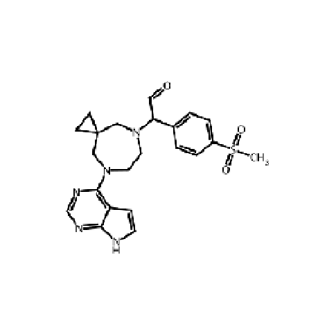 CS(=O)(=O)c1ccc(C(C=O)N2CCN(c3ncnc4[nH]ccc34)CC3(CC3)C2)cc1